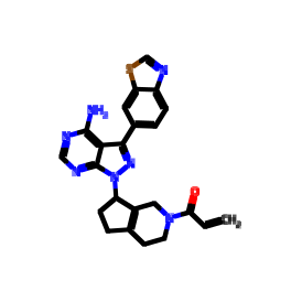 C=CC(=O)N1CCC2=C(C1)C(n1nc(-c3ccc4ncsc4c3)c3c(N)ncnc31)CC2